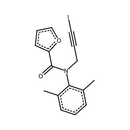 Cc1cccc(C)c1N(CC#CI)C(=O)c1ccco1